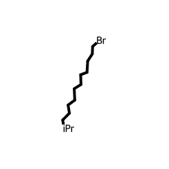 CC(C)CCCCCCCCCCCBr